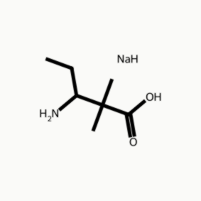 CCC(N)C(C)(C)C(=O)O.[NaH]